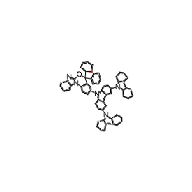 c1ccc(C2(c3ccccc3)Oc3nc4ccccc4n3-c3ccc(-n4c5ccc(-n6c7ccccc7c7ccccc76)cc5c5cc(-n6c7ccccc7c7ccccc76)ccc54)cc32)cc1